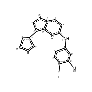 Fc1ccc(Nc2ccn3ncc(-c4ccsc4)c3n2)cc1Cl